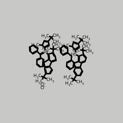 CC1C=C(C(C)(C)C)C=[C]1[Hf](=[C](c1ccccc1)c1ccccc1)[c]1c(C(C)(C)C)ccc2c1Cc1cc(C(C)(C)C)ccc1-2.CC1C=C(C(C)(C)C)C=[C]1[Hf](=[C](c1ccccc1)c1ccccc1)[c]1c(C(C)(C)C)ccc2c1Cc1cc(C(C)(C)C)ccc1-2.[Cl-].[Cl-]